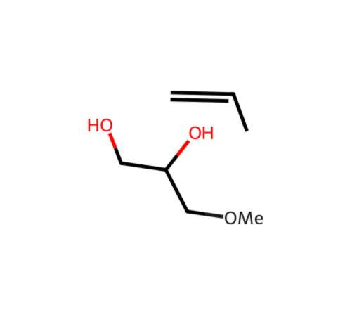 C=CC.COCC(O)CO